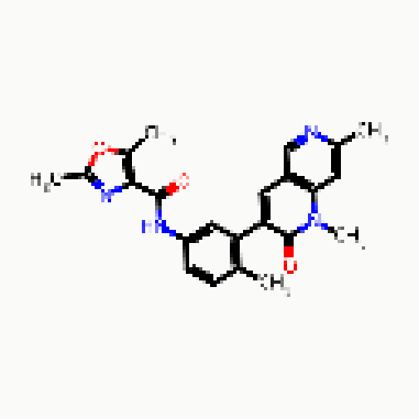 Cc1cc2c(cn1)cc(-c1cc(NC(=O)c3nc(C)oc3C)ccc1C)c(=O)n2C